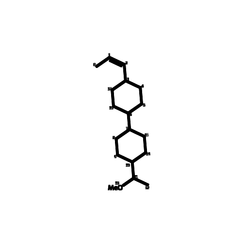 C/C=C\C1CCC(C2CCC(C(C)OC)CC2)CC1